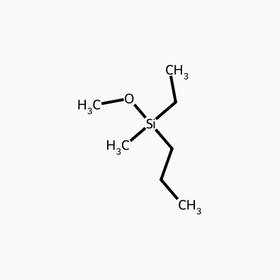 CCC[Si](C)(CC)OC